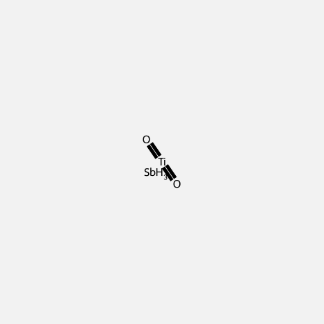 [O]=[Ti]=[O].[SbH3]